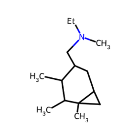 CCN(C)CC1CC2CC2(C)C(C)C1C